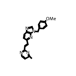 COc1ccc(Cn2cnc3ccc(/C=C/c4nccc(C)n4)nc32)cc1